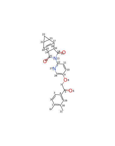 Cc1ccc(C(=O)COc2ccc(N3C(=O)C4C5C=CC(C6CC56)C4C3=O)nc2)cc1C